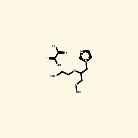 CCCCCCCCCCCCOC(CSC(C)(C)C)Cn1ccnc1.O=C(O)C(=O)O